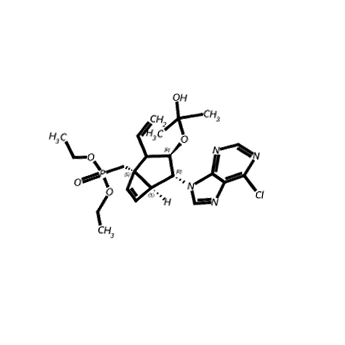 C=CC1[C@@H](OC(C)(C)O)[C@H](n2cnc3c(Cl)ncnc32)[C@H]2C=C[C@@]12CP(=O)(OCC)OCC